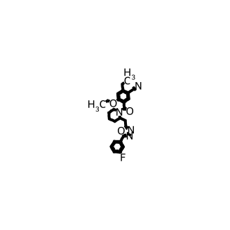 CCOc1cc(CC)c(C#N)cc1C(=O)N1CCCCC1Cc1nnc(-c2cccc(F)c2)o1